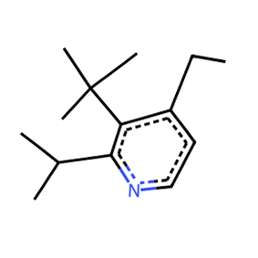 CCc1ccnc(C(C)C)c1C(C)(C)C